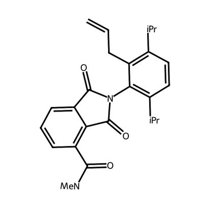 C=CCc1c(C(C)C)ccc(C(C)C)c1N1C(=O)c2cccc(C(=O)NC)c2C1=O